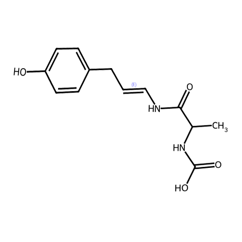 CC(NC(=O)O)C(=O)N/C=C/Cc1ccc(O)cc1